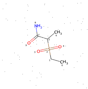 CCS(=O)(=O)C(C)C(N)=O